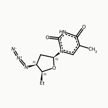 [CH2]C[C@@H]1O[C@H](n2cc(C)c(=O)[nH]c2=O)C[C@@H]1N=[N+]=[N-]